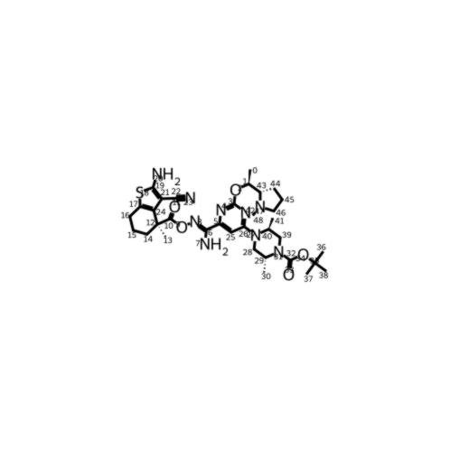 C[C@H](Oc1nc(/C(N)=N/OC(=O)[C@@]2(C)CCCc3sc(N)c(C#N)c32)cc(N2C[C@@H](C)N(C(=O)OC(C)(C)C)C[C@@H]2C)n1)[C@@H]1CCCN1C